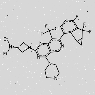 CCN(CC)C1CN(c2nc(N3CCNCC3)c3cnc(-c4ccc(F)c5c4C4CC4C5(F)F)c(C(F)(F)Cl)c3n2)C1